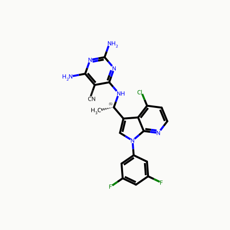 C[C@H](Nc1nc(N)nc(N)c1C#N)c1cn(-c2cc(F)cc(F)c2)c2nccc(Cl)c12